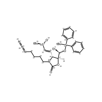 CC[C@@H](O[Si](c1ccccc1)(c1ccccc1)C(C)(C)C)[C@@]1(C)OC(=O)N(CCCCN=[N+]=[N-])[C@@H]1C=N[S@+]([O-])C(C)(C)C